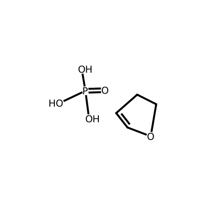 C1=COCC1.O=P(O)(O)O